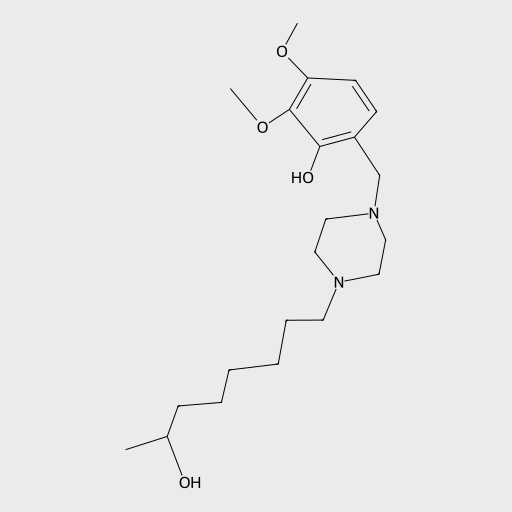 COc1ccc(CN2CCN(CCCCCCC(C)O)CC2)c(O)c1OC